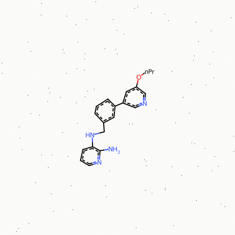 CCCOc1cncc(-c2cccc(CNc3cccnc3N)c2)c1